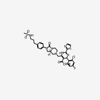 COC(=O)C1=C(CN2CCN3C(=O)N(c4ccc(CCCNS(C)(=O)=O)cc4)C[C@@H]3C2)NC(c2nccs2)=NC1c1ccc(F)cc1Cl